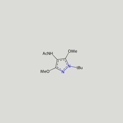 COc1nn(C(C)(C)C)c(OC)c1NC(C)=O